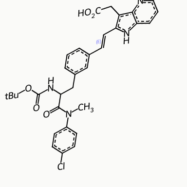 COc1ccc2[nH]c(/C=C/c3cccc(CC(NC(=O)OC(C)(C)C)C(=O)N(C)c4ccc(Cl)cc4)c3)c(CC(=O)O)c2n1